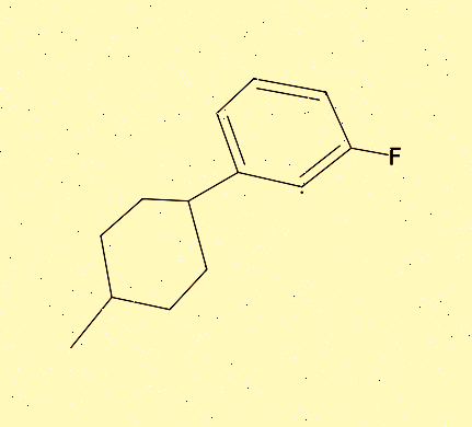 CC1CCC(c2[c]c(F)ccc2)CC1